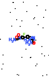 NC[C@H]1CN(c2ccc(-c3ccc(Cn4nnc(C(N)=O)c4N)cc3)c(F)c2)C(=O)O1